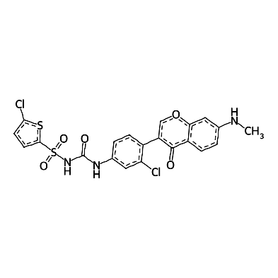 CNc1ccc2c(=O)c(-c3ccc(NC(=O)NS(=O)(=O)c4ccc(Cl)s4)cc3Cl)coc2c1